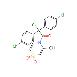 CC1=CS(=O)(=O)C=CN1C(=O)C(Cl)(c1ccc(Cl)cc1)c1ccc(Cl)cc1